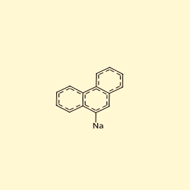 [Na][c]1cc2ccccc2c2ccccc12